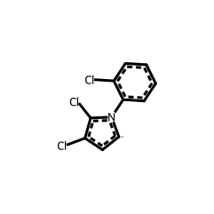 Clc1ccccc1-n1[c]cc(Cl)c1Cl